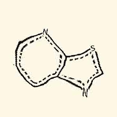 [c]1cnc2scnc2c1